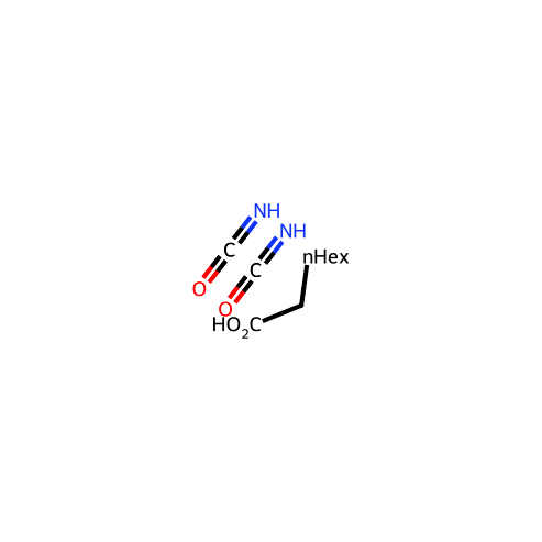 CCCCCCCC(=O)O.N=C=O.N=C=O